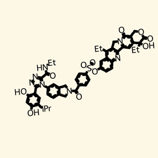 CCNC(=O)c1nnc(-c2cc(C(C)C)c(O)cc2O)n1-c1ccc2c(c1)CN(C(=O)c1ccc(S(=O)(=O)Oc3ccc4nc5c(c(CC)c4c3)Cn3c-5cc4c(c3=O)COC(=O)C4(O)CC)cc1)C2